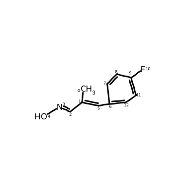 CC(/C=N/O)=C\c1ccc(F)cc1